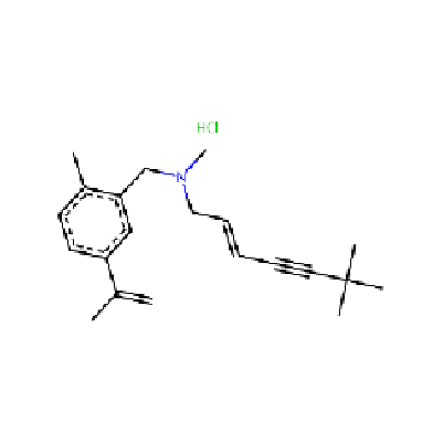 C=C(C)c1ccc(C)c(CN(C)CC=CC#CC(C)(C)C)c1.Cl